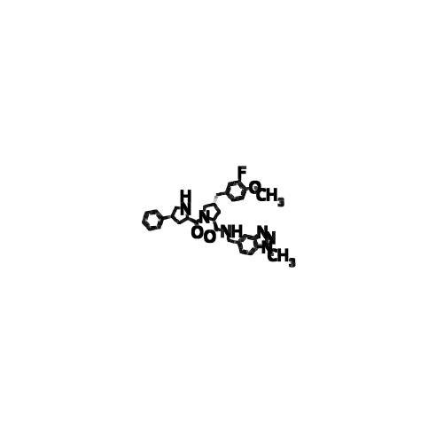 COc1ccc(C[C@@H]2C[C@@H](C(=O)NCc3ccc4c(c3)nnn4C)N(C(=O)[C@H]3C[C@@H](c4ccccc4)CN3)C2)cc1F